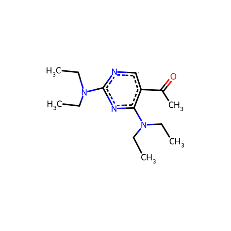 CCN(CC)c1n[c]c(C(C)=O)c(N(CC)CC)n1